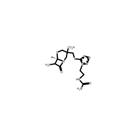 NC(=O)NCCn1nnnc1SCC1(C(=O)O)CS[C@@H]2C(N)C(=O)N2C1